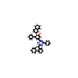 c1ccc(-c2nc(-c3cc(-c4ccccc4)c4c(c3)oc3c5ccccc5ccc34)nc(-c3cc4ccccc4c4ccccc34)n2)cc1